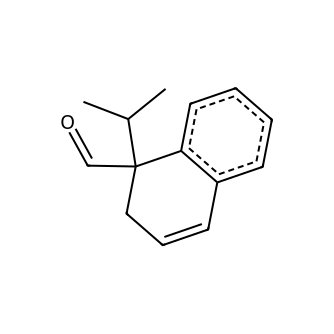 CC(C)C1(C=O)CC=Cc2ccccc21